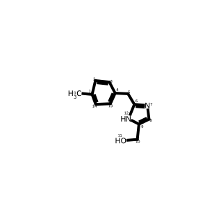 Cc1ccc(Cc2ncc(CO)[nH]2)cc1